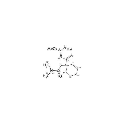 COc1cccc(C2(CC(=O)N(C)C)C=CCCC2)c1